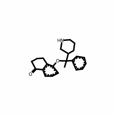 CC(Oc1cccc2c1CCCC2=O)(c1ccccc1)C1CCCNC1